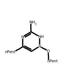 CCCCCON1C=C(CCCCC)N=C(N)N1